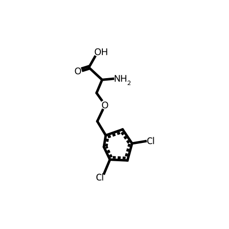 NC(COCc1cc(Cl)cc(Cl)c1)C(=O)O